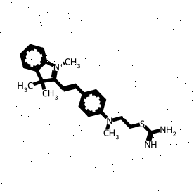 CN(CCSC(=N)N)c1ccc(/C=C/C2=[N+](C)c3ccccc3C2(C)C)cc1